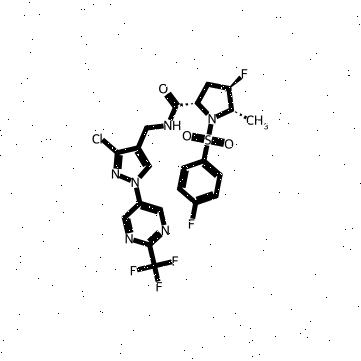 C[C@H]1[C@H](F)C[C@@H](C(=O)NCc2cn(-c3cnc(C(F)(F)F)nc3)nc2Cl)N1S(=O)(=O)c1ccc(F)cc1